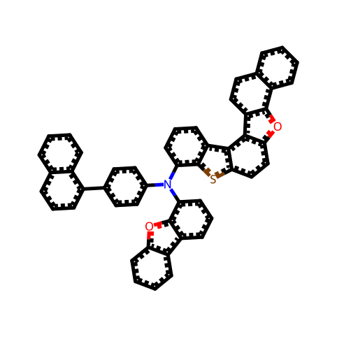 c1ccc2c(-c3ccc(N(c4cccc5c4oc4ccccc45)c4cccc5c4sc4ccc6oc7c8ccccc8ccc7c6c45)cc3)cccc2c1